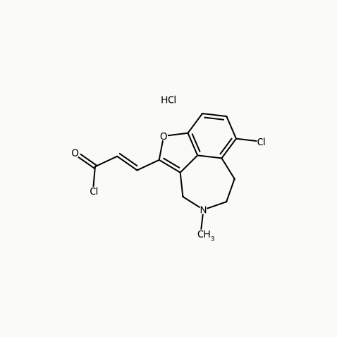 CN1CCc2c(Cl)ccc3oc(/C=C/C(=O)Cl)c(c23)C1.Cl